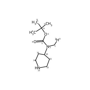 [2H]CN(C(=O)OC(C)(C)C)C1CCNCC1